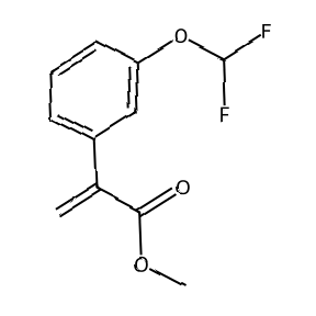 C=C(C(=O)OC)c1cccc(OC(F)F)c1